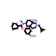 CC(=O)Oc1cccc(C23CCN(CC4CC4)CC2(OC(C)=O)CC[C@H](N(C)C(=O)c2ccccc2)C3)c1